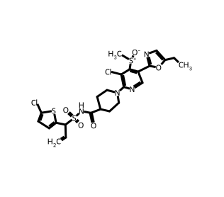 C=CC(c1ccc(Cl)s1)S(=O)(=O)NC(=O)C1CCN(c2ncc(-c3ncc(CC)o3)c([S+](C)[O-])c2Cl)CC1